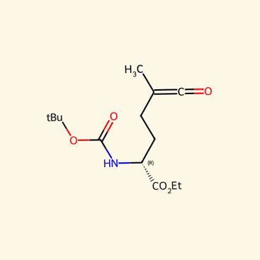 CCOC(=O)[C@@H](CCC(C)=C=O)NC(=O)OC(C)(C)C